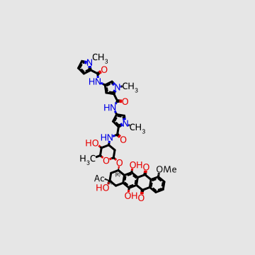 COc1cccc2c1C(=O)c1c(O)c3c(c(O)c1C2=O)C[C@@](O)(C(C)=O)C[C@H]3OC1CC(NC(=O)c2cc(NC(=O)c3cc(NC(=O)c4cccn4C)cn3C)cn2C)C(O)C(C)O1